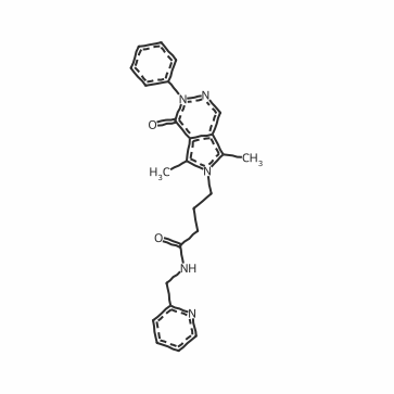 Cc1c2cnn(-c3ccccc3)c(=O)c2c(C)n1CCCC(=O)NCc1ccccn1